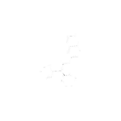 O=C(Nc1ccc2cnccc2c1)[C@H](c1ccccc1)C1NCCCN1